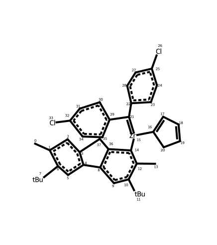 Cc1cc2c(cc1C(C)(C)C)-c1cc(C(C)(C)C)c(C)[c]([Zr]([C]3=CC=CC3)=[C](c3ccc(Cl)cc3)c3ccc(Cl)cc3)c1C2